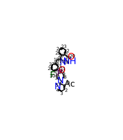 CC(=O)c1cccnc1N1CCP(=O)(c2cc(Cc3n[nH]c(=O)c4ccccc34)ccc2F)CC1